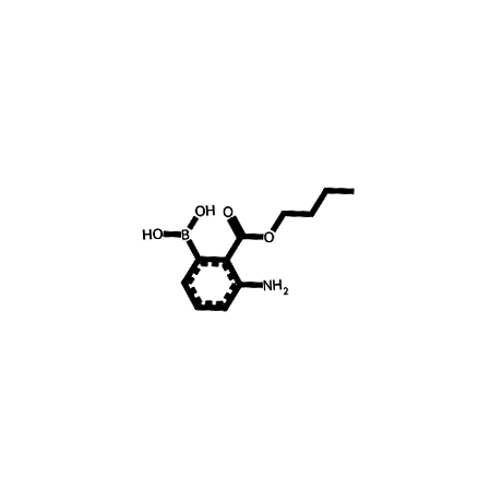 CCCCOC(=O)c1c(N)cccc1B(O)O